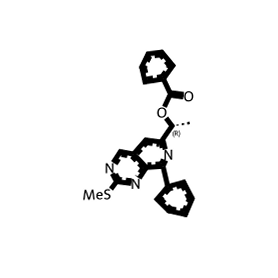 CSc1ncc2cc([C@@H](C)OC(=O)c3ccccc3)nc(-c3ccccc3)c2n1